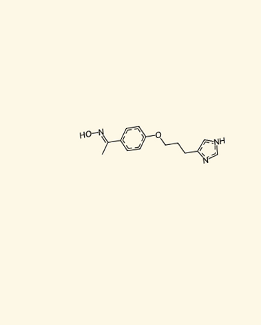 C/C(=N\O)c1ccc(OCCCc2c[nH]cn2)cc1